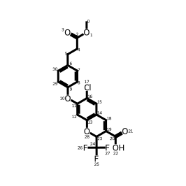 COC(=O)CCc1ccc(Oc2cc3c(cc2Cl)C=C(C(=O)O)C(C(F)(F)F)O3)cc1